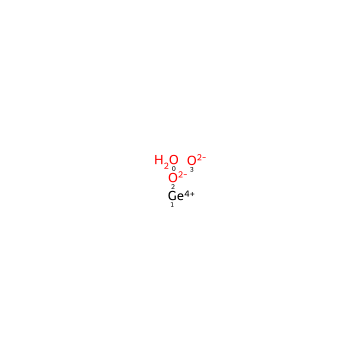 O.[Ge+4].[O-2].[O-2]